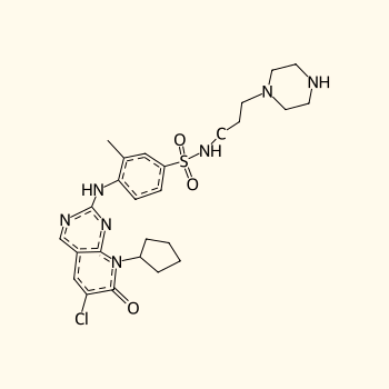 Cc1cc(S(=O)(=O)NCCCN2CCNCC2)ccc1Nc1ncc2cc(Cl)c(=O)n(C3CCCC3)c2n1